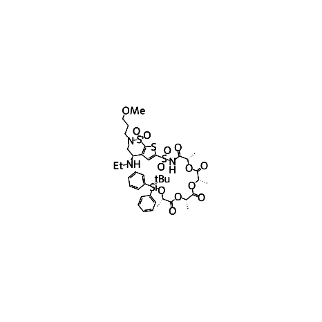 CCN[C@H]1CN(CCCOC)S(=O)(=O)c2sc(S(=O)(=O)NC(=O)[C@H](C)OC(=O)[C@H](C)OC(=O)[C@H](C)OC(=O)[C@H](C)O[Si](c3ccccc3)(c3ccccc3)C(C)(C)C)cc21